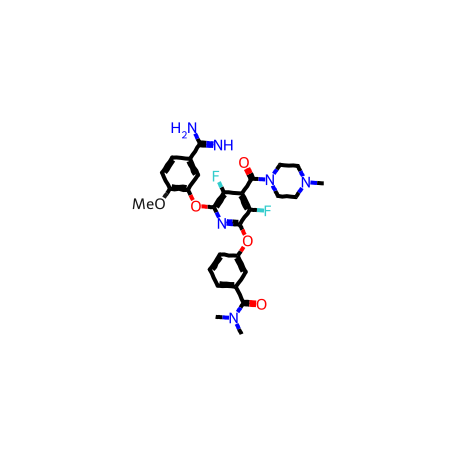 COc1ccc(C(=N)N)cc1Oc1nc(Oc2cccc(C(=O)N(C)C)c2)c(F)c(C(=O)N2CCN(C)CC2)c1F